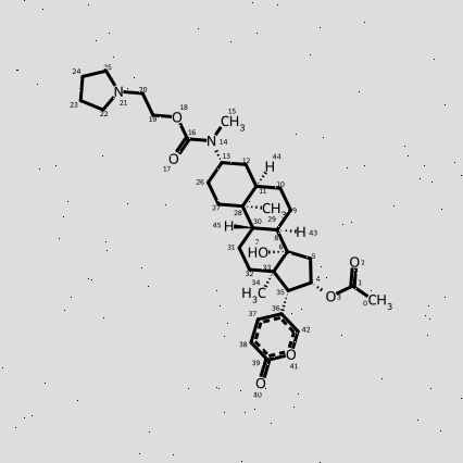 CC(=O)O[C@H]1C[C@]2(O)[C@@H]3CC[C@@H]4C[C@@H](N(C)C(=O)OCCN5CCCC5)CC[C@]4(C)[C@H]3CC[C@]2(C)[C@H]1c1ccc(=O)oc1